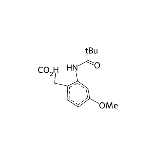 COc1ccc(CC(=O)O)c(NC(=O)C(C)(C)C)c1